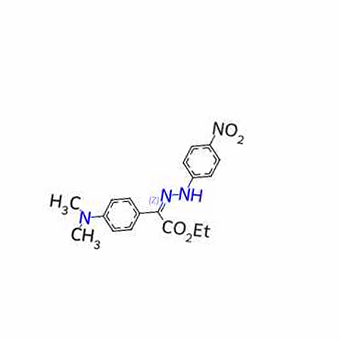 CCOC(=O)/C(=N\Nc1ccc([N+](=O)[O-])cc1)c1ccc(N(C)C)cc1